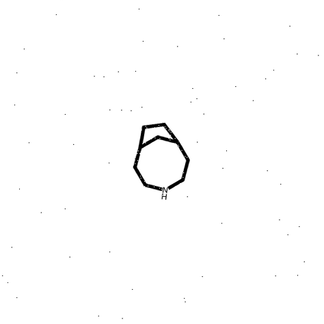 C1CC2CCC(CCN1)C2